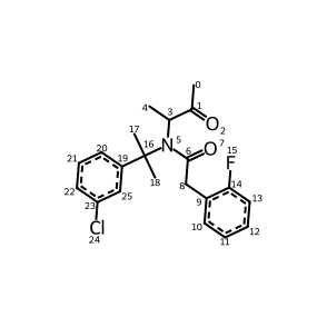 CC(=O)C(C)N(C(=O)Cc1ccccc1F)C(C)(C)c1cccc(Cl)c1